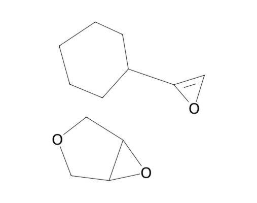 C1=C(C2CCCCC2)O1.C1OCC2OC12